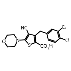 N#Cc1c(N2CCOCC2)sc(C(=O)O)c1Cc1ccc(Cl)c(Cl)c1